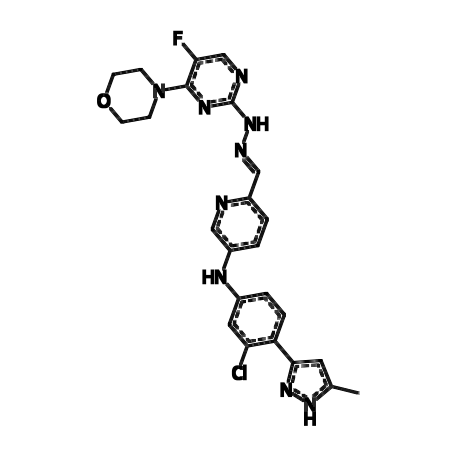 Cc1cc(-c2ccc(Nc3ccc(/C=N/Nc4ncc(F)c(N5CCOCC5)n4)nc3)cc2Cl)n[nH]1